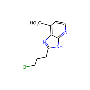 O=C(O)c1ccnc2[nH]c(CCCCl)nc12